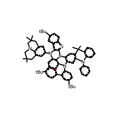 Cc1cc2c3c(c1)N(c1cc4c5c(c1)CC(C)(C)CN5CC(C)(C)C4)c1c(sc4ccc(C(C)(C)C)cc14)B3c1cc3c(cc1N2c1ccc(C(C)(C)C)cc1-c1ccc(C(C)(C)C)cc1)N(c1ccccc1)c1ccccc1C3(C)C